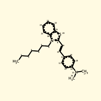 CCCCCCC[n+]1c(/C=C/c2ccc(N(C)C)cc2)sc2ccccc21